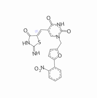 N=C1NC(=O)/C(=C/c2cn(Cc3ccc(-c4ccccc4[N+](=O)[O-])o3)c(=O)[nH]c2=O)S1